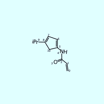 C=CC(=O)NC1=CC=C(C(C)C)C1